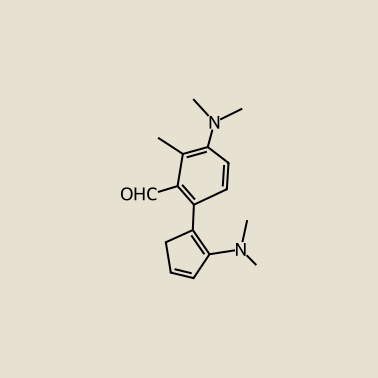 Cc1c(N(C)C)ccc(C2=C(N(C)C)C=CC2)c1C=O